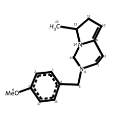 COc1ccc(CN2C=CC3=CCC(C)N3C2)cc1